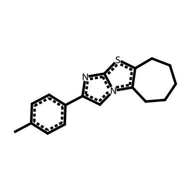 Cc1ccc(-c2cn3c4c(sc3n2)CCCCC4)cc1